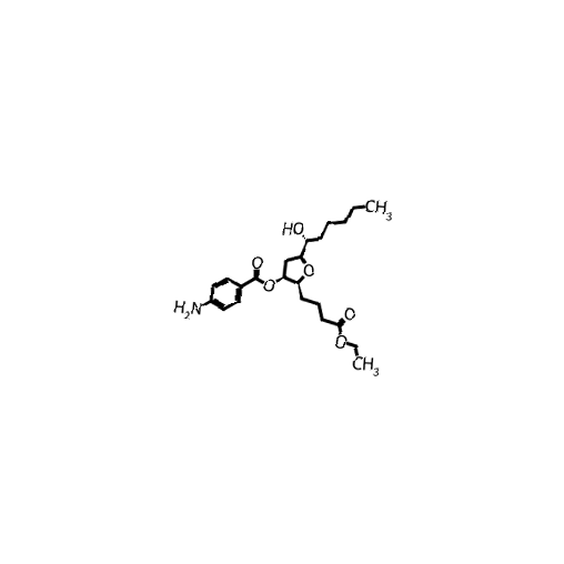 CCCCC[C@@H](O)C1C[C@H](OC(=O)c2ccc(N)cc2)[C@H](CCCC(=O)OCC)O1